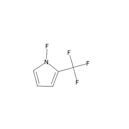 Fn1cccc1C(F)(F)F